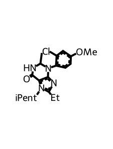 CCCC(C)n1c(CC)nc2c1C(=O)NC(C)N2c1ccc(OC)cc1Cl